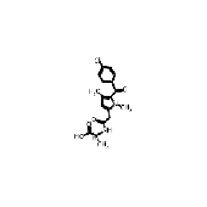 Cc1cc(CC(=O)N[C@@H](C)C(=O)O)n(C)c1C(=O)c1ccc(Cl)cc1